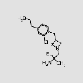 BCCc1ccc(CC2CN(CC(C)(N)CC)C2)c(C)c1